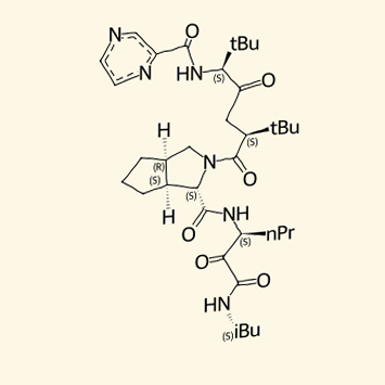 CCC[C@H](NC(=O)[C@@H]1[C@H]2CCC[C@H]2CN1C(=O)[C@@H](CC(=O)[C@@H](NC(=O)c1cnccn1)C(C)(C)C)C(C)(C)C)C(=O)C(=O)N[C@@H](C)CC